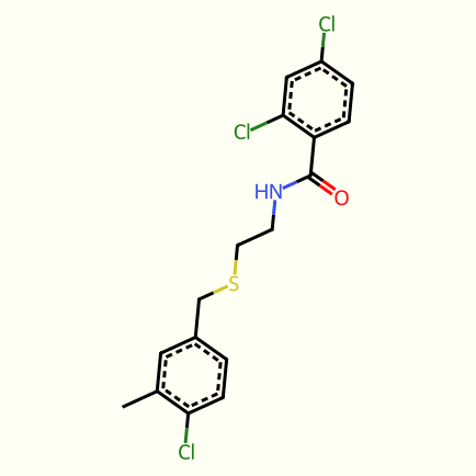 Cc1cc(CSCCNC(=O)c2ccc(Cl)cc2Cl)ccc1Cl